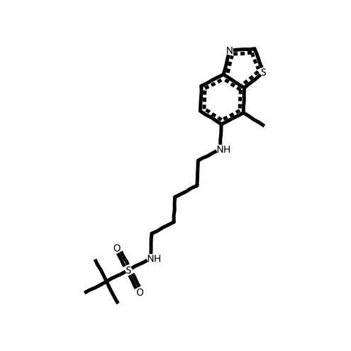 Cc1c(NCCCCCNS(=O)(=O)C(C)(C)C)ccc2ncsc12